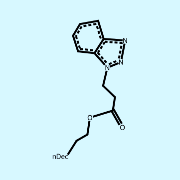 CCCCCCCCCCCCOC(=O)CCn1nnc2ccccc21